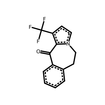 O=C1c2ccccc2CCn2ccc(C(F)(F)F)c21